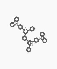 c1ccc(-c2cc(-c3cccc(-c4cc(-c5ccccc5)nc(-c5ccc(-n6c7ccccc7c7ccccc76)cc5)c4)c3)cc(-c3ccc(-n4c5ccccc5c5ccccc54)cc3)n2)cc1